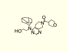 O=C(C1CCOCC1)N1CCc2c(ncnc2N(CCO)C2C3CC4CC(C3)CC2C4)C1